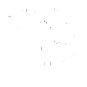 CC(C)CC(N)C(=O)O.CC(C)CC(N)C(=O)O.CC(N)C(=O)O.O=C(O)C1CCCN1.O=C1CC[C@@H](C(=O)O)N1